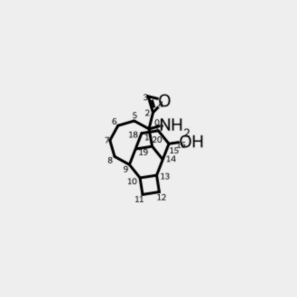 NC1(C2=CO2)CCCCC2C3CCC3C3C(O)CCC2C31